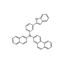 c1cc(-c2cc3ccccc3o2)cc(N(c2ccc3ccccc3c2)c2ccc3c(ccc4ccccc43)c2)c1